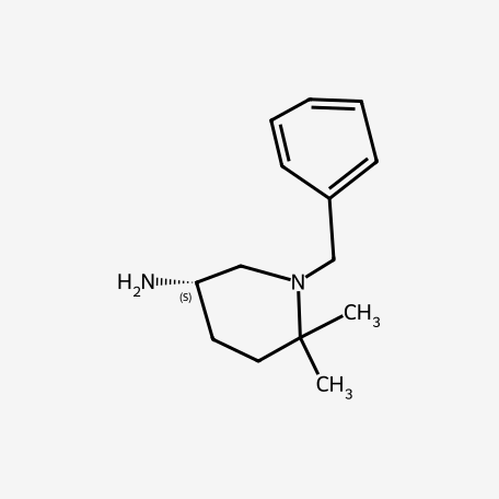 CC1(C)CC[C@H](N)CN1Cc1ccccc1